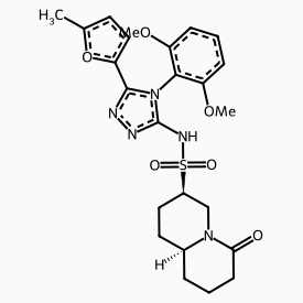 COc1cccc(OC)c1-n1c(NS(=O)(=O)[C@@H]2CC[C@@H]3CCCC(=O)N3C2)nnc1-c1ccc(C)o1